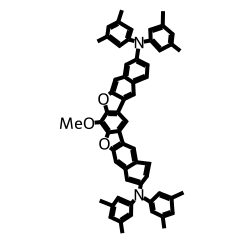 COc1c2oc3cc4cc(N(c5cc(C)cc(C)c5)c5cc(C)cc(C)c5)ccc4cc3c2cc2c1oc1cc3cc(N(c4cc(C)cc(C)c4)c4cc(C)cc(C)c4)ccc3cc12